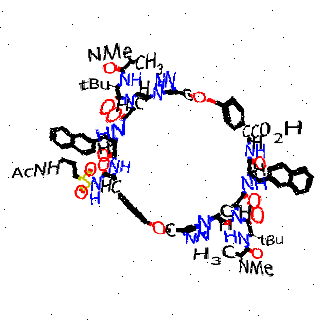 CN[C@@H](C)C(=O)N[C@H](C(=O)N1C[C@@H]2C[C@H]1C(=O)N[C@@H](Cc1ccc3ccccc3c1)C(=O)N[C@H](C(=O)O)Cc1ccc(cc1)OCc1cn(nn1)[C@H]1C[C@@H](C(=O)N[C@@H](Cc3ccc4ccccc4c3)C(=O)N[C@H](C(=O)NS(=O)(=O)CCCNC(C)=O)Cc3ccc(cc3)OCc3cn2nn3)N(C(=O)[C@@H](NC(=O)[C@H](C)NC)C(C)(C)C)C1)C(C)(C)C